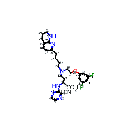 N#Cc1nccnc1NC(CCN(CCCCc1ccc2c(n1)NCCC2)CCOc1cc(F)cc(F)c1)C(=O)O